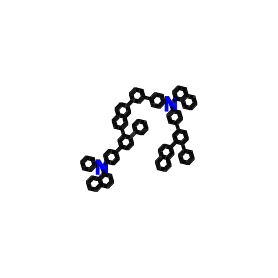 c1ccc(-c2ccc(-c3ccc(N(c4ccc(-c5cccc(-c6ccc7ccc(-c8cc(-c9ccc(N(c%10ccccc%10)c%10cccc%11ccccc%10%11)cc9)ccc8-c8ccccc8)cc7c6)c5)cc4)c4cccc5ccccc45)cc3)cc2-c2ccc3ccccc3c2)cc1